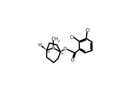 CN1[C@@H]2CCC[C@@]1(OC(=O)c1cccc(Cl)c1Cl)CC2